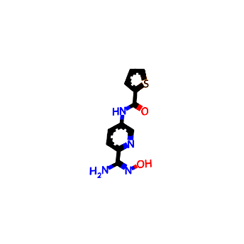 N/C(=N/O)c1ccc(NC(=O)c2cccs2)cn1